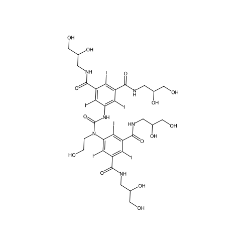 O=C(NCC(O)CO)c1c(I)c(NC(=O)N(CCO)c2c(I)c(C(=O)NCC(O)CO)c(I)c(C(=O)NCC(O)CO)c2I)c(I)c(C(=O)NCC(O)CO)c1I